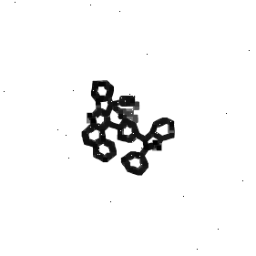 CC1(C)c2ccccc2-c2nc3ccc4ccccc4c3c(-c3ccc(C4C(c5ccccc5)=NC5C=CC=CC54)cc3)c21